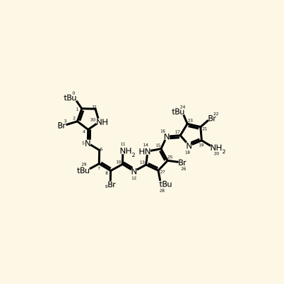 CC(C)(C)C1=C(Br)/C(=N/C/C(=C(Br)\C(N)=N\c2[nH]c(/N=C3\N=C(N)C(Br)=C3C(C)(C)C)c(Br)c2C(C)(C)C)C(C)(C)C)NC1